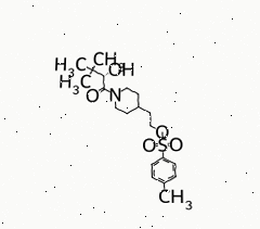 Cc1ccc(S(=O)(=O)OCCC2CCN(C(=O)[C@@H](O)C(C)(C)C)CC2)cc1